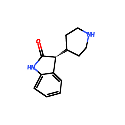 O=C1Nc2ccccc2[C@H]1C1CCNCC1